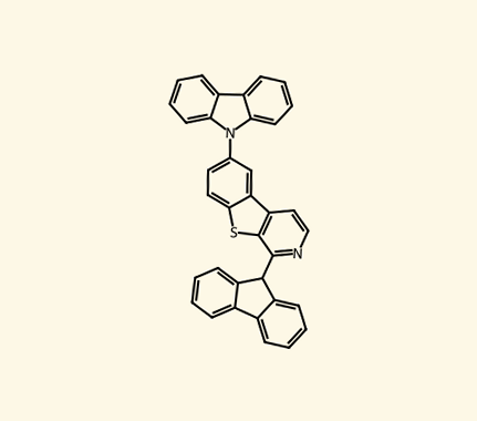 c1ccc2c(c1)-c1ccccc1C2c1nccc2c1sc1ccc(-n3c4ccccc4c4ccccc43)cc12